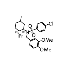 COc1ccc(CN([C@@H]2CC(C)CC[C@H]2C(C)C)S(=O)(=O)c2ccc(Cl)cc2)cc1OC